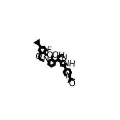 O=C1c2c(F)cc(C3CC3)cc2OCCN1c1cccc(-c2ccnc3[nH]c(C4=CCN(C5COC5)CC4)cc23)c1CO